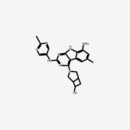 CNc1cc(F)cc2c1[nH]c1nc(Nc3cnc(C)nc3)nc(N3CC4CC(O)C4C3)c12